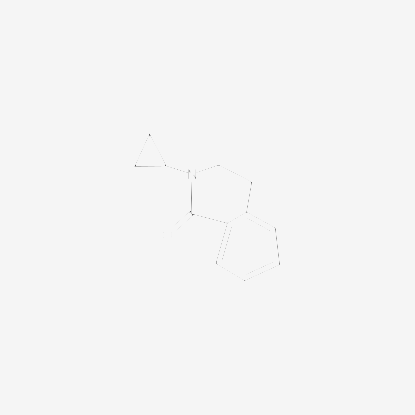 O=C1c2ccccc2CCN1C1CC1